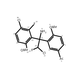 COc1ccc(C(C)=O)cc1C(N)(c1c(OC)ccc(Cl)c1F)C(F)Cl